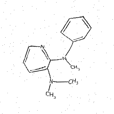 CN(C)c1cccnc1N(C)c1ccccc1